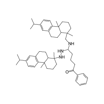 CC(C)c1ccc2c(c1)CCC1C(C)(CNC(CCCC(=O)c3ccccc3)NNC3(C)CCCC4(C)c5ccc(C(C)C)cc5CCC34)CCCC21C